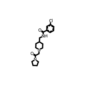 O=C(NCC1CCN(CC(=O)N2CCCC2)CC1)c1cccc(Cl)c1